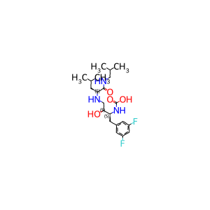 CC(C)CNC(=O)[C@H](CC(C)C)NC[C@H](O)[C@H](Cc1cc(F)cc(F)c1)NC(=O)O